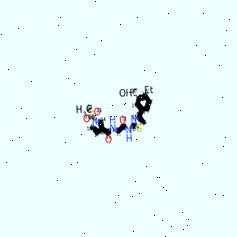 CCc1ccc(-c2csc(NC(=O)CNC(=O)c3ccn(S(C)(=O)=O)c3)n2)cc1C=O